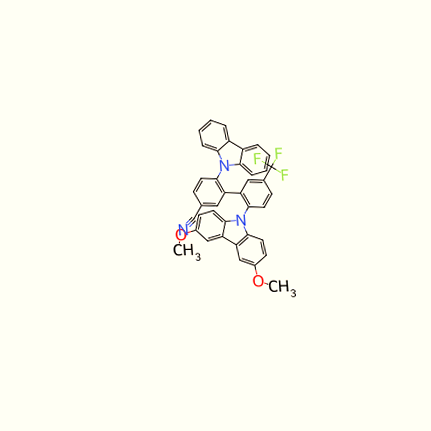 COc1ccc2c(c1)c1cc(OC)ccc1n2-c1ccc(C(F)(F)F)cc1-c1cc(C#N)ccc1-n1c2ccccc2c2ccccc21